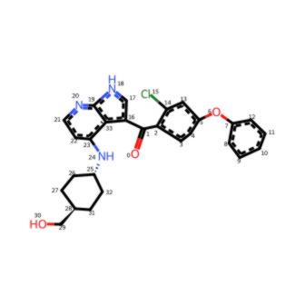 O=C(c1ccc(Oc2ccccc2)cc1Cl)c1c[nH]c2nccc(N[C@H]3CC[C@H](CO)CC3)c12